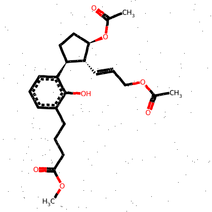 COC(=O)CCCc1cccc([C@H]2CC[C@@H](OC(C)=O)[C@@H]2/C=C/COC(C)=O)c1O